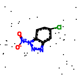 O=[N+]([O-])n1nnc2cc(Cl)ccc21